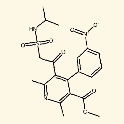 COC(=O)c1c(C)nc(C)c(C(=O)CS(=O)(=O)NC(C)C)c1-c1cccc([N+](=O)[O-])c1